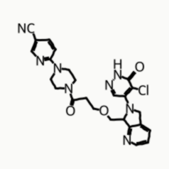 N#Cc1ccc(N2CCN(C(=O)CCOCC3c4ncccc4CN3c3cn[nH]c(=O)c3Cl)CC2)nc1